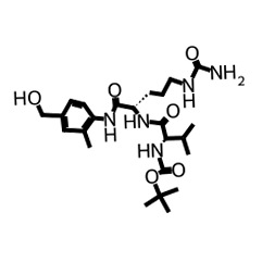 Cc1cc(CO)ccc1NC(=O)[C@H](CCCNC(N)=O)NC(=O)[C@@H](NC(=O)OC(C)(C)C)C(C)C